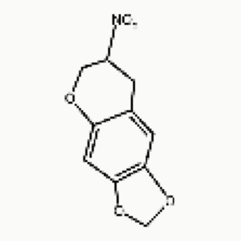 O=[N+]([O-])C1COc2cc3c(cc2C1)OCO3